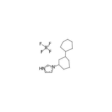 F[B-](F)(F)F.c1c[n+](C2CCCC(C3CCCCC3)C2)c[nH]1